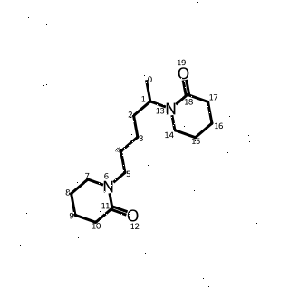 CC(CCCCN1CCCCC1=O)N1CCCCC1=O